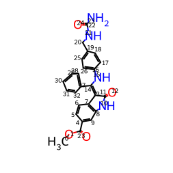 COC(=O)c1ccc2c(c1)NC(=O)/C2=C(\Nc1ccc(CNC(N)=O)cc1)c1ccccc1